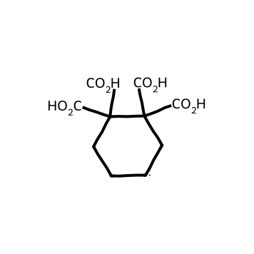 O=C(O)C1(C(=O)O)C[CH]CCC1(C(=O)O)C(=O)O